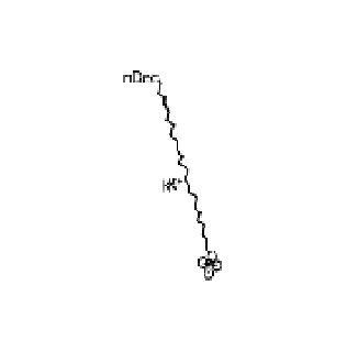 CCCCCCCCCCCCCCCCCCCCCCCCCCCCCCCCCCOP(=O)([O-])[O-].[K+].[K+]